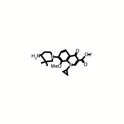 COc1c(N2CC[C@@H](N)C(C)(C)C2)ccc2c(=O)c(C(=O)OF)cn(C3CC3)c12